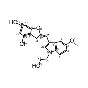 COc1ccc2c(c1)c(C=C1Cc3c(O)cc(O)cc3O1)cn2CCO